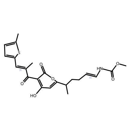 COC(=O)N/C=C/CCC(C)c1cc(O)c(C(=O)/C(C)=C/c2ccc(C)s2)c(=O)o1